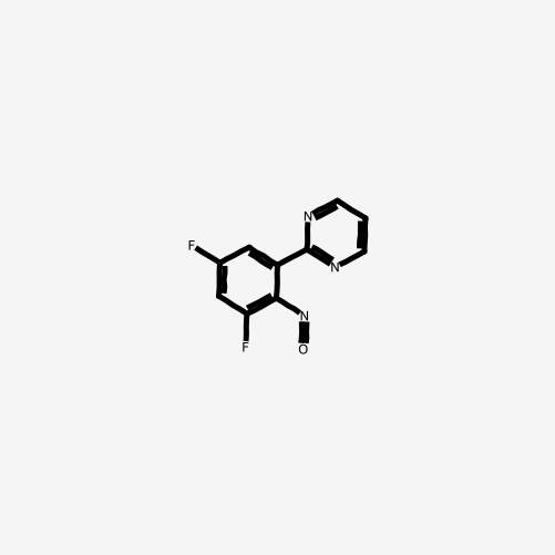 O=Nc1c(F)cc(F)cc1-c1ncccn1